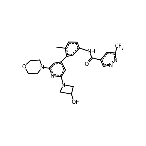 Cc1ccc(NC(=O)c2cnnc(C(F)(F)F)c2)cc1-c1cc(N2CCOCC2)nc(N2CC(O)C2)c1